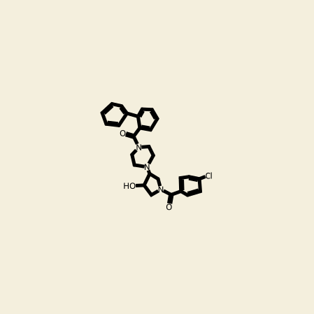 O=C(c1ccc(Cl)cc1)N1CC(O)C(N2CCN(C(=O)c3ccccc3-c3ccccc3)CC2)C1